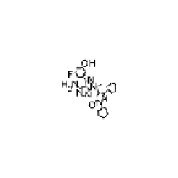 CC(c1cc(=O)n(-c2ccccc2)nc1-c1ccccc1)n1nc(-c2cc(O)cc(F)c2)c2c(N)ncnc21